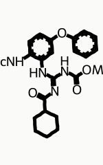 COC(=O)N/C(=N/C(=O)C1CCCCC1)Nc1cc(Oc2ccccc2)ccc1NC(C)=O